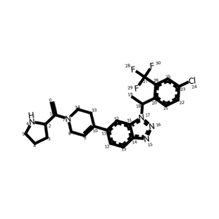 C=C(C1CCCN1)N1CC=C(c2ccc3nnn(C(C)c4ccc(Cl)cc4C(F)(F)F)c3c2)CC1